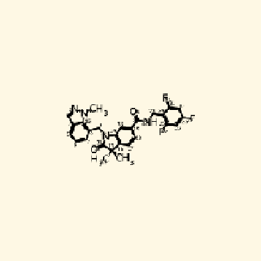 Cn1ncc2cccc(CN3C(=O)C(C)(C)c4ccc(C(=O)NCc5c(F)cc(F)cc5F)cc43)c21